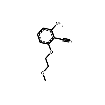 COCCOc1cccc(N)c1C#N